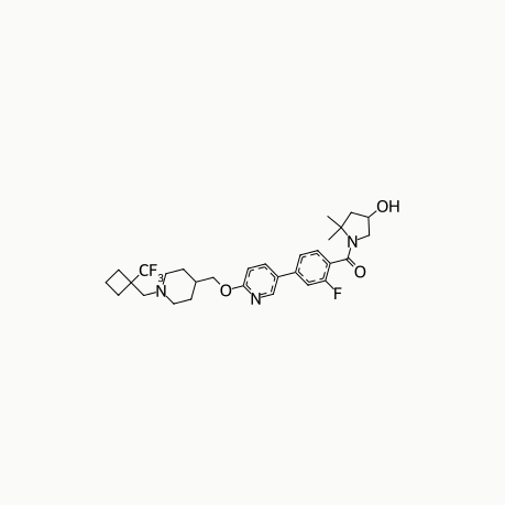 CC1(C)CC(O)CN1C(=O)c1ccc(-c2ccc(OCC3CCN(CC4(C(F)(F)F)CCC4)CC3)nc2)cc1F